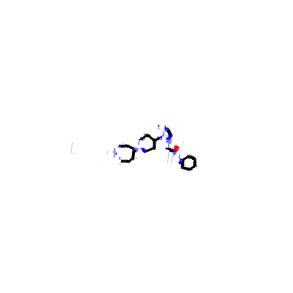 CCOC(=O)N1CCCC(N2CCC(c3nccn3CC(=O)NC3CCCCC3)CC2)CC1